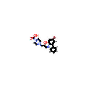 O=C(O)N1CCN(C[C@H](O)Cn2c3ccccc3c3cc(Br)ccc32)CC1